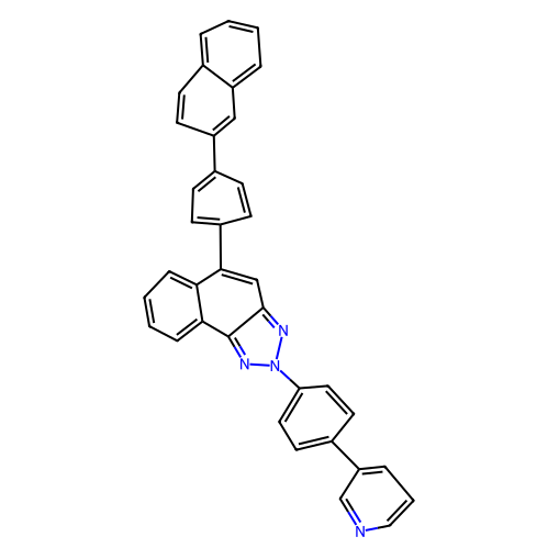 c1cncc(-c2ccc(-n3nc4cc(-c5ccc(-c6ccc7ccccc7c6)cc5)c5ccccc5c4n3)cc2)c1